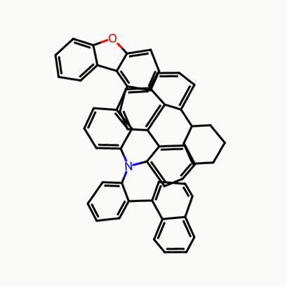 c1cc(-c2cccc3oc4ccccc4c23)cc(N(c2ccccc2-c2cccc3ccccc23)c2ccccc2-c2cccc3cccc(C4CCCCC4)c23)c1